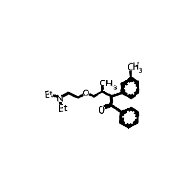 CCN(CC)CCOCC(C)C(C(=O)c1ccccc1)c1cccc(C)c1